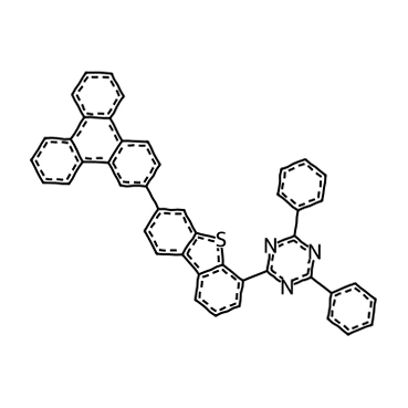 c1ccc(-c2nc(-c3ccccc3)nc(-c3cccc4c3sc3cc(-c5ccc6c7ccccc7c7ccccc7c6c5)ccc34)n2)cc1